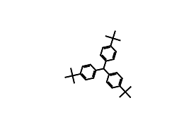 CC(C)(C)c1ccc(C(c2ccc(C(C)(C)C)cc2)c2ccc(C(C)(C)C)cc2)cc1